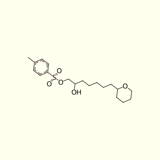 Cc1ccc(S(=O)(=O)OCC(O)CCCCCC2CCCCO2)cc1